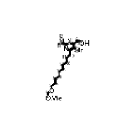 COCOCCCCCCCCCCc1nc(N(C)C)nc(CO)c1Br